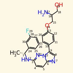 C[C@@H](Nc1ccc2ncc(-c3ccc(OCC(N)CO)cc3)n2n1)c1cccc(F)c1